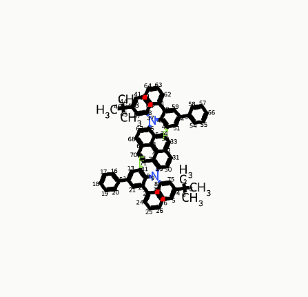 CC(C)(C)c1cccc(N(c2c(F)cc(-c3ccccc3)cc2-c2ccccc2)c2ccc3ccc4c(N(c5cccc(C(C)(C)C)c5)c5c(F)cc(-c6ccccc6)cc5-c5ccccc5)ccc5ccc2c3c54)c1